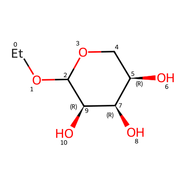 CCOC1OC[C@@H](O)[C@@H](O)[C@H]1O